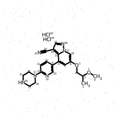 COC(C)COc1cc(-c2ccc(N3CCNCC3)nc2)c2c(C#N)cnn2c1.Cl.Cl